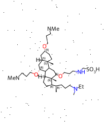 CCN(C)CCC[C@@H](C)[C@H]1CC[C@H]2C3C(C[C@H](OCCCNCS(=O)(=O)O)[C@]12C)[C@@]1(C)CC[C@@H](OCCCNC)C[C@H]1C[C@H]3OCCCNC